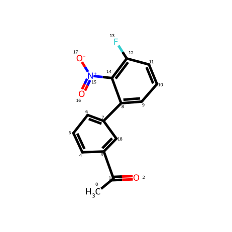 CC(=O)c1cccc(-c2cccc(F)c2[N+](=O)[O-])c1